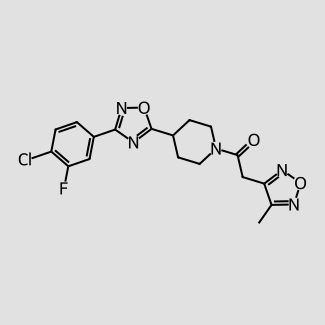 Cc1nonc1CC(=O)N1CCC(c2nc(-c3ccc(Cl)c(F)c3)no2)CC1